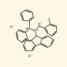 Cc1ccccc1[NH][Hf+2]([CH]1c2ccccc2-c2ccccc21)[SiH](c1ccccc1)c1ccccc1.[Cl-].[Cl-]